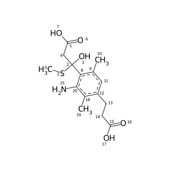 CSC(O)(CC(=O)O)c1c(C)cc(CCC(=O)O)c(C)c1N